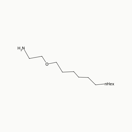 CCCCCCCCCCCCOCCN